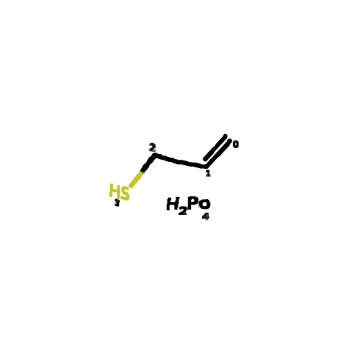 C=CCS.[PoH2]